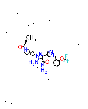 CC#CC(=O)N1CC[C@]2(C1)C[C@H](n1nc(-c3cnn(Cc4ccccc4OC(F)(F)F)c3)c(C(N)=O)c1N)C2